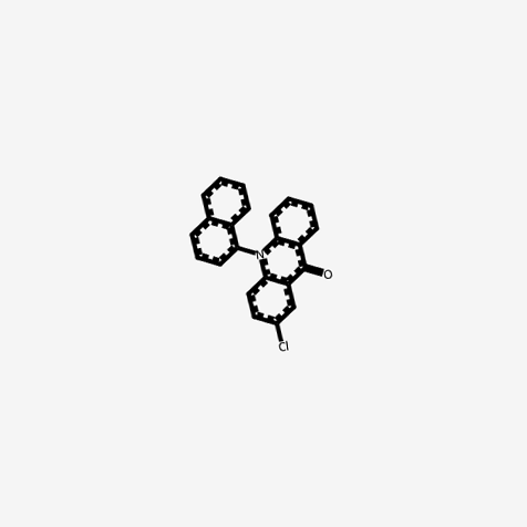 O=c1c2ccccc2n(-c2cccc3ccccc23)c2ccc(Cl)cc12